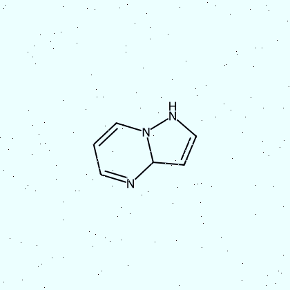 C1=CN2NC=CC2N=C1